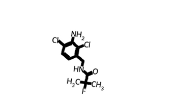 CC(C)(F)C(=O)NCc1ccc(Cl)c(N)c1Cl